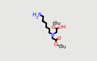 CC(C)(C)OC(=O)CN(CCCCCCN)CC(O)OC(C)(C)C